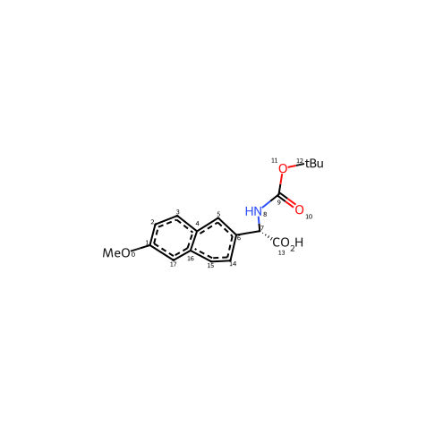 COc1ccc2cc([C@H](NC(=O)OC(C)(C)C)C(=O)O)ccc2c1